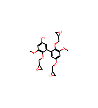 COc1cc(O)cc(-c2cc(OCC3CO3)cc(OC)c2OCC2CO2)c1OCC1CO1